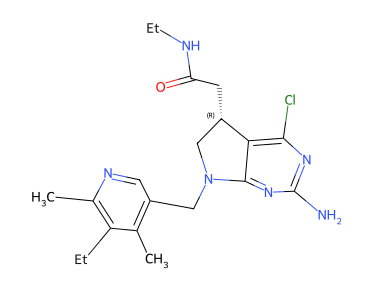 CCNC(=O)C[C@H]1CN(Cc2cnc(C)c(CC)c2C)c2nc(N)nc(Cl)c21